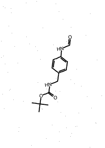 CC(C)(C)OC(=O)NCc1ccc(NC=O)cc1